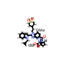 COc1cc(C(=O)N2C[C@H]3CC[C@@H]2[C@@H]3NC(=O)OC(C)(C)C)cc2nc(-c3cc4ccccc4n3CC3CC3)n(CCC3CCS(=O)(=O)CC3)c12